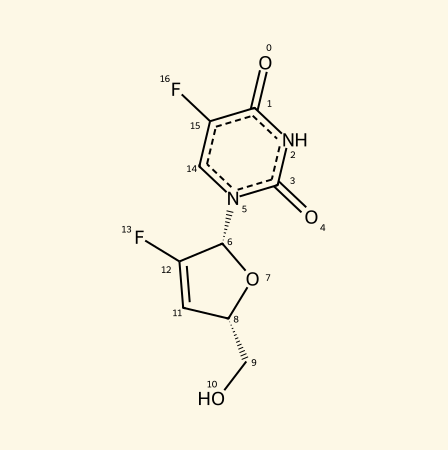 O=c1[nH]c(=O)n([C@@H]2O[C@H](CO)C=C2F)cc1F